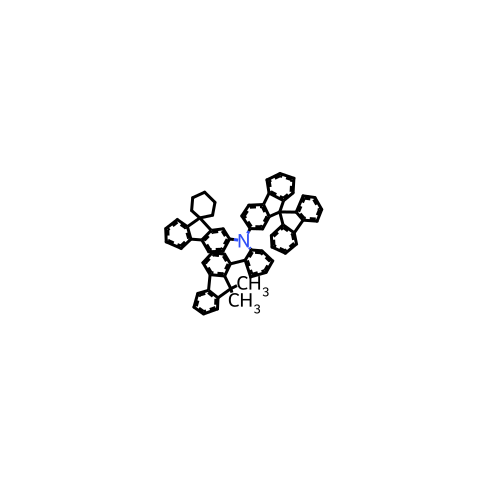 CC1(C)c2ccccc2-c2cccc(-c3ccccc3N(c3ccc4c(c3)C3(CCCCC3)c3ccccc3-4)c3ccc4c(c3)C3(c5ccccc5-c5ccccc53)c3ccccc3-4)c21